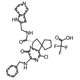 O=C(NCc1cc2cnccc2[nH]1)[C@@H]1CC2(CCCC2)c2c(Cl)nc(NCc3ccccc3)c(=O)n21.O=C(O)C(F)(F)F